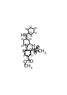 COC(=O)c1cnc(N2CCC(NC3CCCCC3)CC2)c(NS(C)(=O)=O)c1